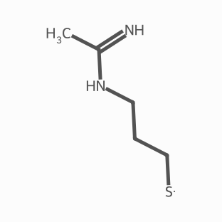 CC(=N)NCCC[S]